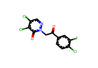 O=C(Cn1ncc(Cl)c(Cl)c1=O)c1ccc(Cl)c(F)c1